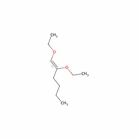 CCCC/C(=[C]/OCC)OCC